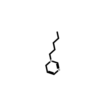 CCCCCN1C=NC=CC1